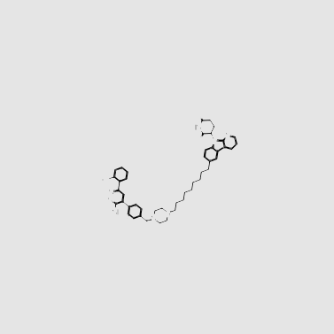 Nc1nnc(-c2ccccc2O)cc1-c1ccc(CN2CCN(CCCCCCCCCc3ccc4c(c3)c3cccnc3n4C3CCC(=O)NC3=O)CC2)cc1